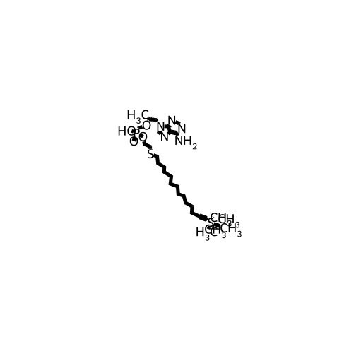 C[C@H](Cn1cnc2c(N)ncnc21)OCP(=O)(O)OCCSCCCCCCCCCCCCC#CS(C)(C)C(C)(C)C